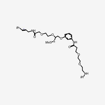 CSSC(COc1cccc(NC(=O)CCOCCOCCNC(C)C)c1)OCCOCC(=O)NC/C=C/C(C)C